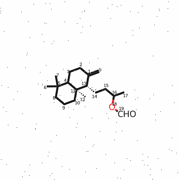 C=C1CCC2C(C)(C)CCC[C@]2(C)[C@H]1CCC(C)OC=O